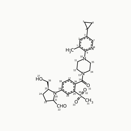 Cc1cc(C2CC2)cnc1N1CCN(C(=O)c2ccc(N3C(C=O)CC[C@H]3CO)cc2S(C)(=O)=O)CC1